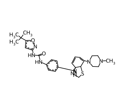 CN1CCN(C2=CC=CC34NC(c5ccc(NC(=O)Nc6cc(C(C)(C)C)on6)cc5)CN3CSC24)CC1